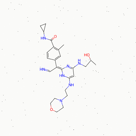 Cc1cc(/C(C=N)=C2\N=C(NCC(C)O)C=C(NCCN3CCOCC3)N2)ccc1C(=O)NC1CC1